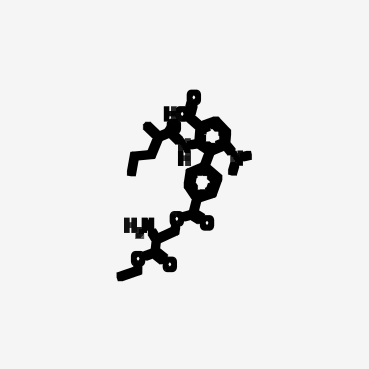 CCCC(C)C(=O)Nc1c(C(=O)O)ccc(N(C)C)c1-c1ccc(C(=O)OCC(N)C(=O)OCC)cc1